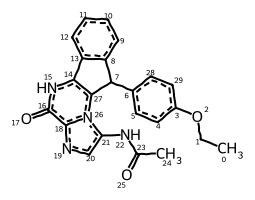 CCOc1ccc(C2c3ccccc3-c3[nH]c(=O)c4ncc(NC(C)=O)n4c32)cc1